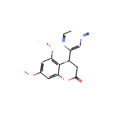 C=N/C=C(\N=C/C)C1CC(=O)Oc2cc(OC)cc(OC)c21